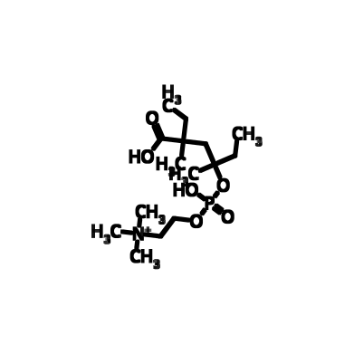 CCC(C)(CC(C)(CC)C(=O)O)OP(=O)(O)OCC[N+](C)(C)C